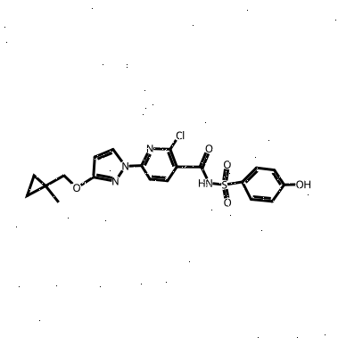 CC1(COc2ccn(-c3ccc(C(=O)NS(=O)(=O)c4ccc(O)cc4)c(Cl)n3)n2)CC1